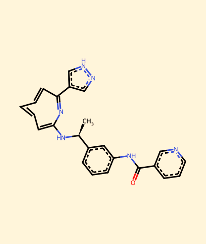 C[C@H](NC1=C/C=C/C=C/C(c2cn[nH]c2)=N\1)c1cccc(NC(=O)c2cccnc2)c1